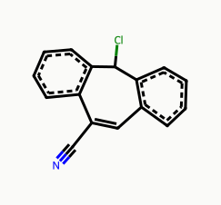 N#CC1=Cc2ccccc2C(Cl)c2ccccc21